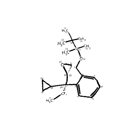 CO[C@](c1ccccc1CO[Si](C)(C)C(C)(C)C)(C1CC1)[C@H]1CO1